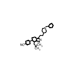 CN(C)Cc1c(-c2ccc(C#N)cc2)ccc2c(CCC3CCN(Cc4ccccc4)CC3)noc12